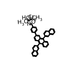 CC1(C)N=C(c2ccc(-c3ccc4c(-c5ccc6ccccc6c5)c5ccccc5c(-c5ccc6ccccc6c5)c4c3)cc2)OC1(C)C